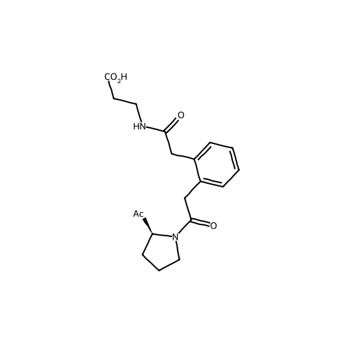 CC(=O)[C@@H]1CCCN1C(=O)Cc1ccccc1CC(=O)NCCC(=O)O